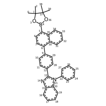 CC1(C)OB(c2ccc(-c3ccc(-c4nc5ccccc5n4-c4ccccc4)cc3)c3ccccc23)OC1(C)C